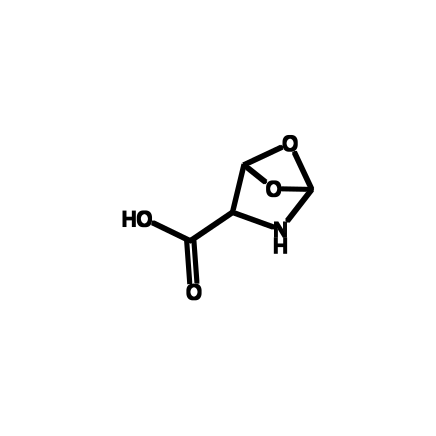 O=C(O)C1NC2OC1O2